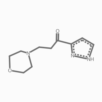 O=C(CCN1CCOCC1)c1cc[nH]n1